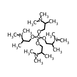 CC(CO[Si](OCC(C)N(C)C)(OCC(C)N(C)C)OCC(C)N(C)C)N(C)C